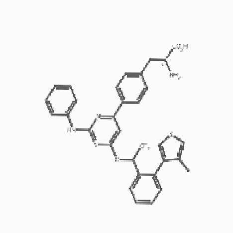 Cc1cscc1-c1ccccc1C(Oc1cc(-c2ccc(C[C@H](N)C(=O)O)cc2)nc(Nc2ccccc2)n1)C(F)(F)F